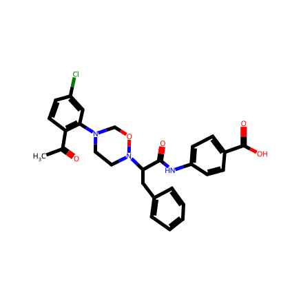 CC(=O)c1ccc(Cl)cc1N1CCN(C(Cc2ccccc2)C(=O)Nc2ccc(C(=O)O)cc2)OC1